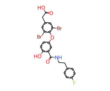 O=C(O)Cc1cc(Br)c(Oc2ccc(O)c(C(=O)NCCc3ccc(F)cc3)c2)c(Br)c1